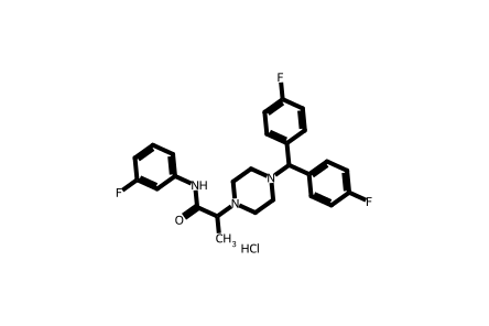 CC(C(=O)Nc1cccc(F)c1)N1CCN(C(c2ccc(F)cc2)c2ccc(F)cc2)CC1.Cl